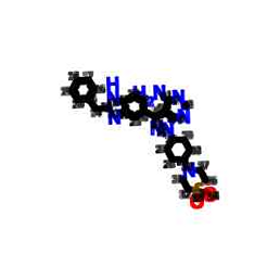 Nc1ncnc2c1c(-c1ccc3[nH]c(Cc4ccccc4)nc3c1)nn2C1CCC(N2CCS(=O)(=O)CC2)CC1